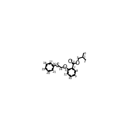 CC(C)COC(=O)c1ccccc1OCSc1ccccc1